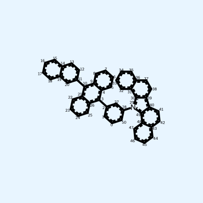 c1cc(-c2c3ccccc3c(-c3ccc4ccccc4c3)c3ccccc23)cc(-n2c3c4ccccc4ccc3c3ccc4ccccc4c32)c1